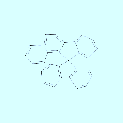 [c]1ccc2c(c1)-c1ccc3ccccc3c1C2(c1ccccc1)c1ccccc1